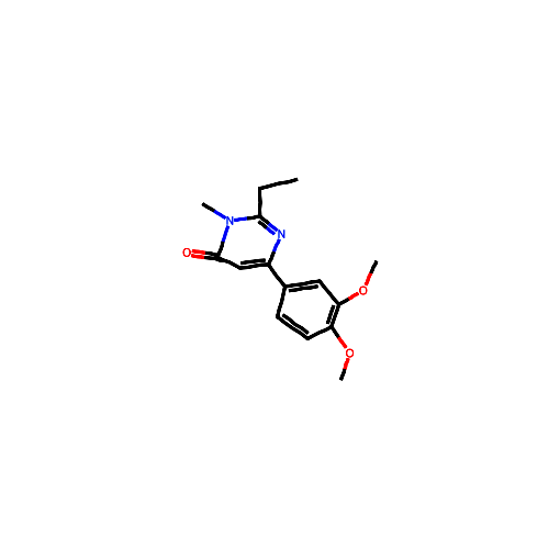 CCc1nc(-c2ccc(OC)c(OC)c2)cc(=O)n1C